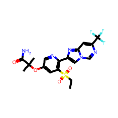 CCS(=O)(=O)c1cc(OC(C)(C)C(N)=O)cnc1-c1cn2cnc(C(F)(F)F)cc2n1